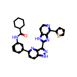 O=C(Nc1c#ccc(-c2ccc3[nH]nc(-c4nc5c(-c6cccs6)nccc5[nH]4)c3n2)c1)C1CCCCC1